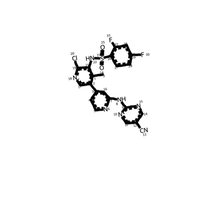 Cc1c(-c2ccnc(Nc3ncc(C#N)cn3)c2)cnc(Cl)c1NS(=O)(=O)c1ccc(F)cc1F